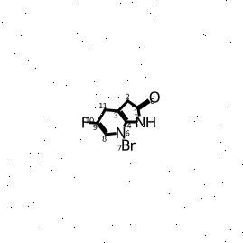 O=C1CC2=C(N1)N(Br)C=C(F)C2